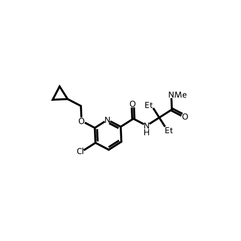 CCC(CC)(NC(=O)c1ccc(Cl)c(OCC2CC2)n1)C(=O)NC